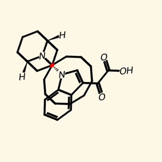 O=C(O)C(=O)c1cn([C@H]2C[C@H]3CCC[C@@H](C2)N3C2CCCCCCCCC2)c2ccccc12